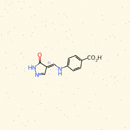 O=C1NN=C/C1=C\Nc1ccc(C(=O)O)cc1